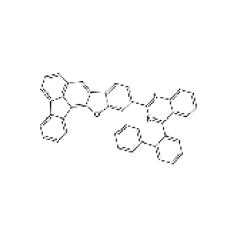 c1ccc(-c2ccccc2-c2nc(-c3ccc4c(c3)oc3c5c6c(cccc6cc34)-c3ccccc3-5)nc3ccccc23)cc1